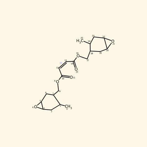 CC1CC2OC2CC1COC(=O)/C=C\C(=O)OCC1CC2OC2CC1C